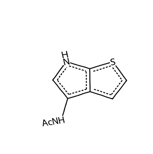 CC(=O)Nc1c[nH]c2sccc12